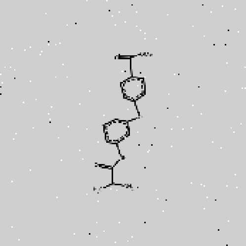 COC(=O)c1ccc(Oc2cccc(NC(=O)C(C)N)c2)cc1